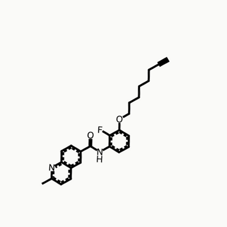 C#CCCCCCCOc1cccc(NC(=O)c2ccc3nc(C)ccc3c2)c1F